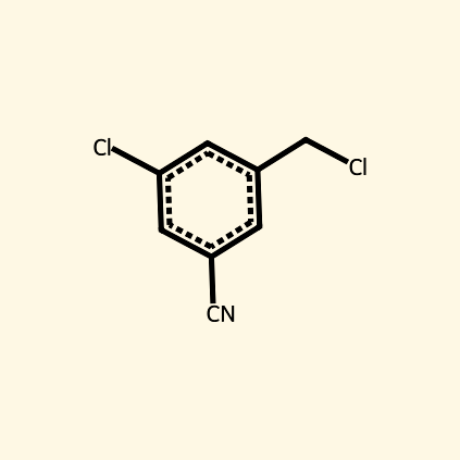 N#Cc1cc(Cl)cc(CCl)c1